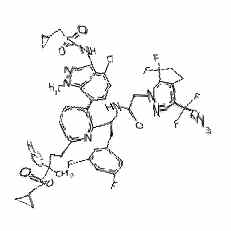 Cn1nc(NS(=O)(=O)CC2CC2)c2c(Cl)ccc(-c3ccc(CCC(C)(C)S(=O)(=O)C4CC4)nc3[C@H](Cc3cc(F)cc(F)c3)NC(=O)Cn3nc(C(C)(F)F)c4c3C(F)(F)CC4)c21